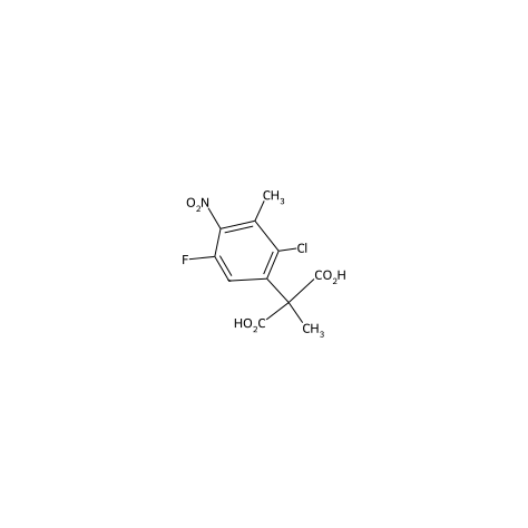 Cc1c(Cl)c(C(C)(C(=O)O)C(=O)O)cc(F)c1[N+](=O)[O-]